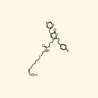 CCCCCCCC/C=C\CCCCCCCCNC(=O)CCCn1cc(Cc2cncnc2)c(=O)nc1SCc1ccc(F)cc1